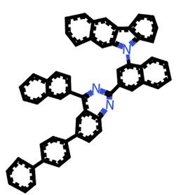 c1ccc(-c2ccc(-c3ccc4nc(-c5cc(-n6c7ccccc7c7cc8ccccc8cc76)c6ccccc6c5)nc(-c5ccc6ccccc6c5)c4c3)cc2)cc1